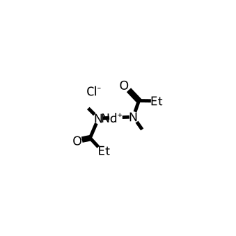 CCC(=O)[N](C)[Nd+][N](C)C(=O)CC.[Cl-]